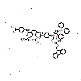 C=CCOc1c(C(=O)Nc2ccc(C(=O)O)cc2)ccc(NC(=O)c2ccc(NC(=O)[C@H](CC(=O)NC(c3ccccc3)(c3ccccc3)c3ccccc3)NC(=O)OCC3c4ccccc4-c4ccccc43)cc2)c1OC(C)C